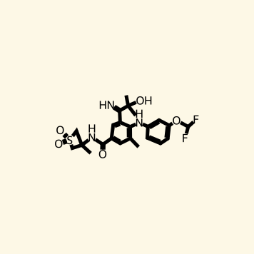 Cc1cc(C(=O)NC2(C)CS(=O)(=O)C2)cc(C(=N)C(C)(C)O)c1Nc1cccc(OC(F)F)c1